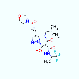 CC(C)Cn1c(=O)c(C(=O)NC(C)C(F)(F)F)c(O)n2ncc(/C=C/C(=O)N3CCOCC3)c12